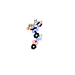 C[C@H]1COCCN1c1cc(CS(C)(=O)=O)nc(-c2ccc(NC(=O)Oc3ccccc3)c(Cl)c2)n1